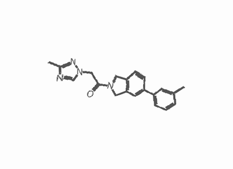 Cc1cccc(-c2ccc3c(c2)CN(C(=O)Cn2cnc(C)n2)C3)c1